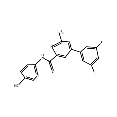 Cc1cc(-c2cc(F)cc(F)c2)cc(C(=O)Nc2ccc(C#N)cn2)n1